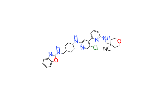 N#CC1(CNc2cccc(-c3cc(NC4CCC(CNc5nc6ccccc6o5)CC4)ncc3Cl)n2)CCOCC1